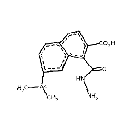 C[As](C)c1ccc2ccc(C(=O)O)c(C(=O)NN)c2c1